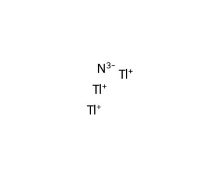 [N-3].[Tl+].[Tl+].[Tl+]